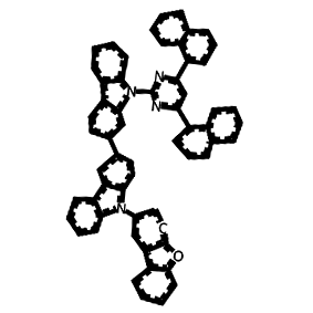 c1ccc2c(-c3cc(-c4cccc5ccccc45)nc(-n4c5ccccc5c5ccc(-c6ccc7c(c6)c6ccccc6n7-c6ccc7oc8ccccc8c7c6)cc54)n3)cccc2c1